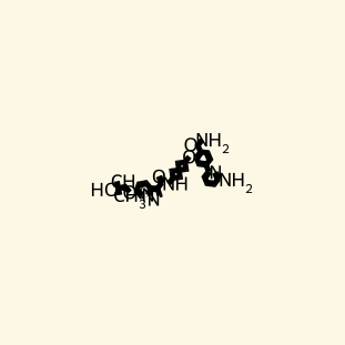 CC(C)(O)COc1ccc2c(C(=O)NC3CC4(C3)CC(Oc3cc(-c5cccc(N)n5)ccc3C(N)=O)C4)cnn2c1